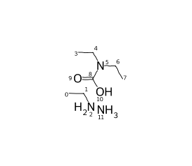 CCN.CCN(CC)C(=O)O.N